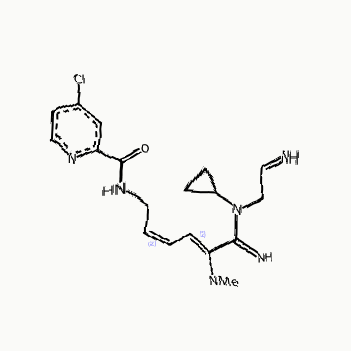 CN/C(=C\C=C/CNC(=O)c1cc(Cl)ccn1)C(=N)N(CC=N)C1CC1